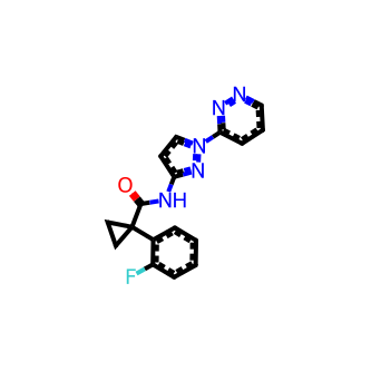 O=C(Nc1ccn(-c2cccnn2)n1)C1(c2ccccc2F)CC1